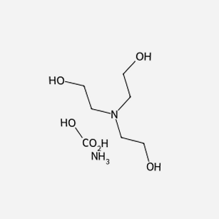 N.O=C(O)O.OCCN(CCO)CCO